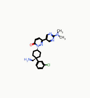 CN(C)c1ncc(-c2ccc(=O)n([C@H]3CC[C@@](CN)(c4cccc(Cl)c4)CC3)n2)cn1